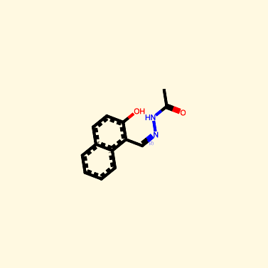 CC(=O)N/N=C\c1c(O)ccc2ccccc12